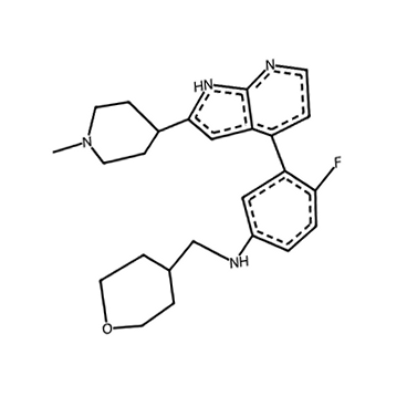 CN1CCC(c2cc3c(-c4cc(NCC5CCOCC5)ccc4F)ccnc3[nH]2)CC1